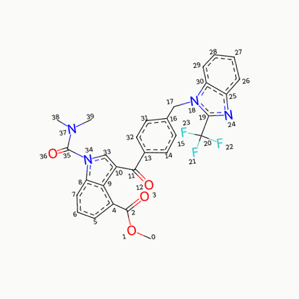 COC(=O)c1cccc2c1c(C(=O)c1ccc(Cn3c(C(F)(F)F)nc4ccccc43)cc1)cn2C(=O)N(C)C